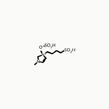 CN1C=C[N+](C)(CCCCS(=O)(=O)O)C1.O=S(=O)([O-])O